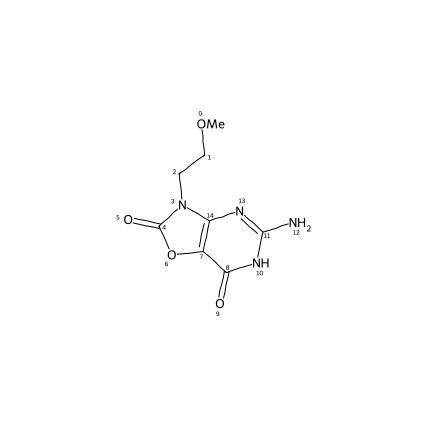 COCCn1c(=O)oc2c(=O)[nH]c(N)nc21